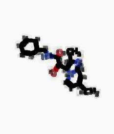 Cc1ccn2c(C(=O)C(=O)NCc3ccccc3)c(C)nc2c1